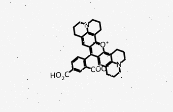 O=C(O)c1ccc(-c2c3cc4c5c(c3[o+]c3c6c7c(cc23)CCCN7CCC6)CCCN5CCC4)c(C(=O)[O-])c1